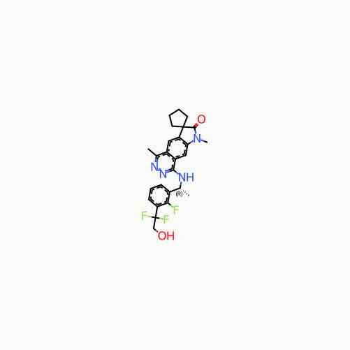 Cc1nnc(N[C@H](C)c2cccc(C(F)(F)CO)c2F)c2cc3c(cc12)C1(CCCC1)C(=O)N3C